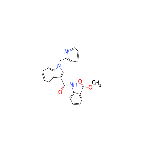 COC(=O)c1ccccc1NC(=O)c1cn(Cc2ccccn2)c2ccccc12